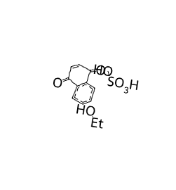 CCO.O=C1C=CC(=O)c2ccccc21.O=S(=O)(O)O